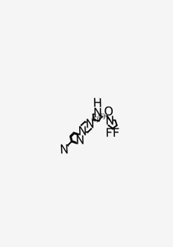 N#Cc1ccc(N2CCN([C@@H]3CN[C@H](C(=O)N4CCC(F)(F)C4)C3)CC2)nc1